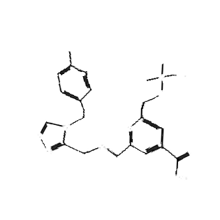 COC(=O)c1cc(CNCc2nncn2Cc2ccc(F)cc2)nc(CO[Si](C)(C)C(C)(C)C)c1